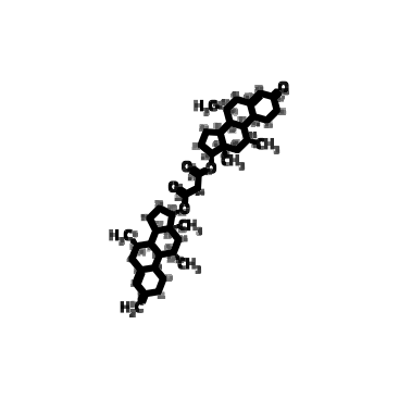 C=C1C=C2C[C@@H](C)C3C(C2CC1)[C@@H](C)C[C@@]1(C)C3CC[C@@H]1OC(=O)CC(=O)O[C@H]1CCC2C3C(C4CCC(=O)C=C4C[C@H]3C)[C@@H](C)C[C@@]21C